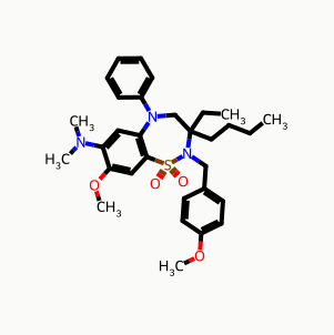 CCCCC1(CC)CN(c2ccccc2)c2cc(N(C)C)c(OC)cc2S(=O)(=O)N1Cc1ccc(OC)cc1